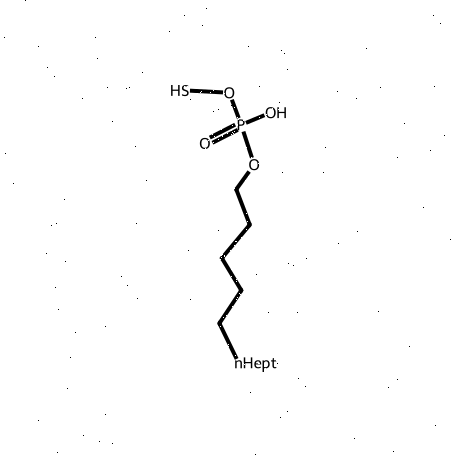 CCCCCCCCCCCCOP(=O)(O)OS